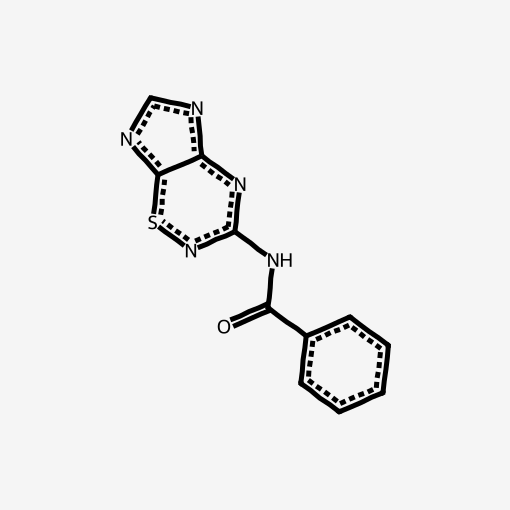 O=C(Nc1nsc2ncnc-2n1)c1ccccc1